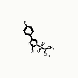 CN(C)S(=O)(=O)n1cc(-c2ccc(F)cc2)nc1Br